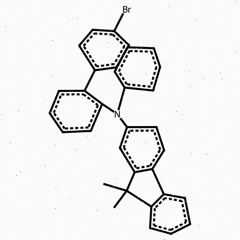 CC1(C)c2ccccc2-c2ccc(N(c3ccccc3)c3ccccc3-c3ccc(Br)cc3)cc21